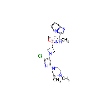 C[C@@H]1CN(c2cc(N3CC(C(=O)NC(C)(C)c4cnc5ccccn45)C3)c(Cl)cn2)CCN1C